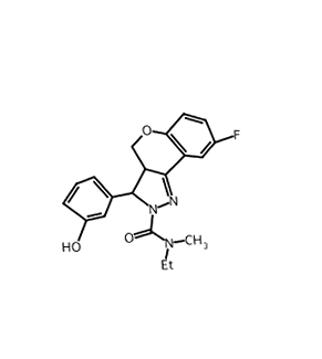 CCN(C)C(=O)N1N=C2c3cc(F)ccc3OCC2C1c1cccc(O)c1